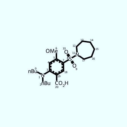 CCCCN(CCCC)c1cc(OC)c(S(=O)(=O)N2CCCCCC2)cc1C(=O)O